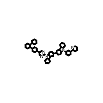 c1ccc(-c2ccccc2-c2ccc(-c3cnc(-n4c5ccccc5c5cc(-c6ccc7c(c6)c6ccccc6n7-c6cccc(-c7ccccn7)c6)ccc54)nc3)cc2)cc1